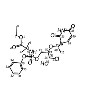 CCOC(=O)C(C)(C)N[P@@](=O)(OC[C@@H](O[C@H](C)n1ccc(=O)[nH]c1=O)[C@@H](O)Cl)Oc1ccccc1